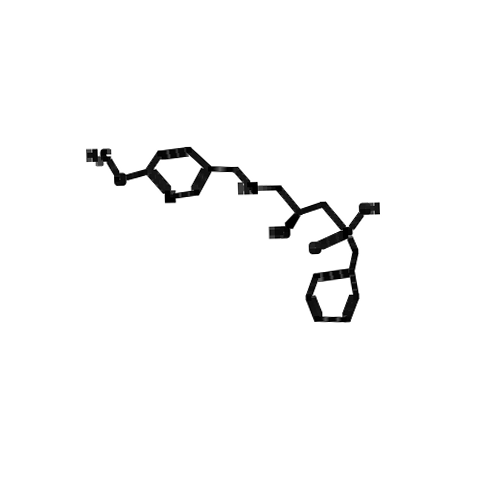 COc1ccc(CNC[C@H](O)CP(=O)(O)Cc2ccccc2)cn1